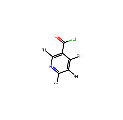 [2H]c1nc([2H])c(C(=O)Cl)c([2H])c1[2H]